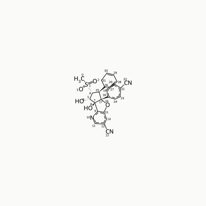 CS(=O)(=O)[C@H]1[C@@H](O)[C@@]2(O)c3ncc(C#N)cc3O[C@@]2(c2ccc(C#N)cc2)[C@@H]1C1C=CC=CC1